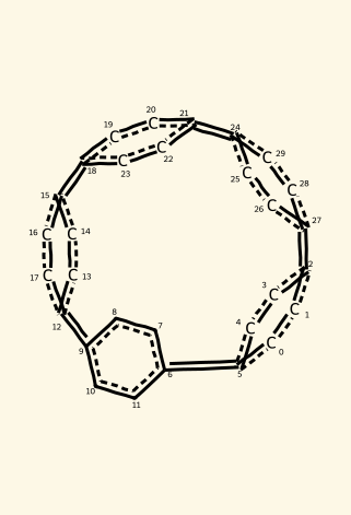 c1cc2ccc1=c1ccc(cc1)=c1ccc(cc1)=c1ccc(cc1)=c1ccc=2cc1